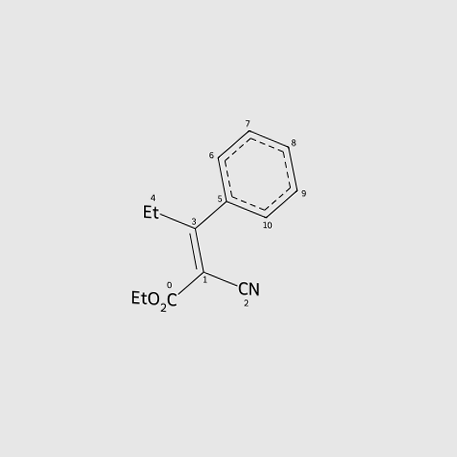 CCOC(=O)C(C#N)=C(CC)c1ccccc1